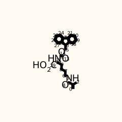 C=C(C)C(=O)NCCCCC(NC(=O)OCC1c2ccccc2-c2ccccc21)C(=O)O